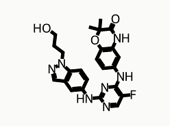 CC1(C)Oc2ccc(Nc3nc(Nc4ccc5c(cnn5CCCO)c4)ncc3F)cc2NC1=O